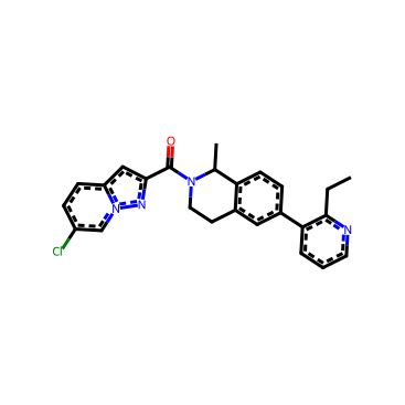 CCc1ncccc1-c1ccc2c(c1)CCN(C(=O)c1cc3ccc(Cl)cn3n1)C2C